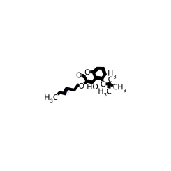 CC/C=C/CCOc1c(O)c2c(OC(C)(C)C)cccc2oc1=O